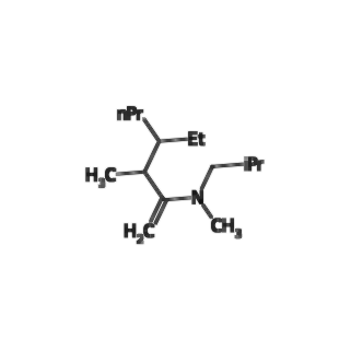 C=C(C(C)C(CC)CCC)N(C)CC(C)C